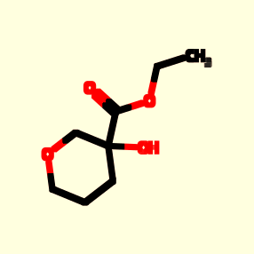 CCOC(=O)C1(O)CCCOC1